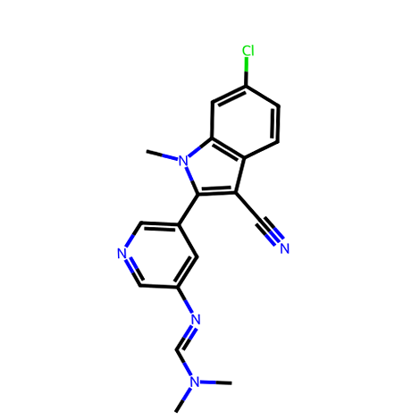 CN(C)C=Nc1cncc(-c2c(C#N)c3ccc(Cl)cc3n2C)c1